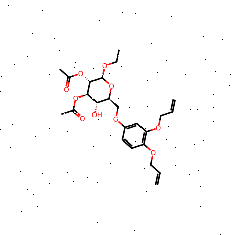 C=CCOc1ccc(OC[C@@H]2O[C@H](OCC)[C@@H](OC(C)=O)[C@H](OC(C)=O)[C@H]2O)cc1OCC=C